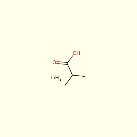 CC(C)C(=O)O.[InH3]